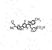 Cc1ccn2c(CC3CN(C(=O)O)CCO3)c(-c3c(F)cc(-c4nc(C(C#N)CCCl)c[nH]4)cc3F)nc2c1